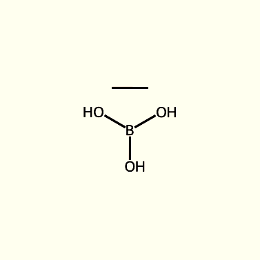 CC.OB(O)O